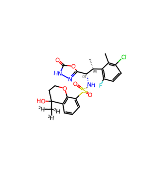 [2H]C([2H])([2H])C1(O)CCOc2c1cccc2S(=O)(=O)N[C@H](c1n[nH]c(=O)o1)[C@H](C)c1c(F)ccc(Cl)c1C